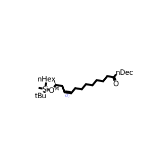 CCCCCCCCCCC(=O)CCCCCCC/C=C\C[C@@H](CCCCCC)O[Si](C)(C)C(C)(C)C